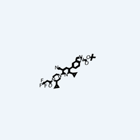 CC(C)(C)OC(=O)n1ncc2cc(-c3cc(C#N)c(N4CCN(C(=O)CC(F)(F)F)C(C5CC5)C4)nc3C3CC3)ccc21